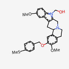 COc1ccc2c(c1)c1c(n2CO)CN2CCc3cc(OC)c(OCc4ccc(SC)cc4)cc3C2C1